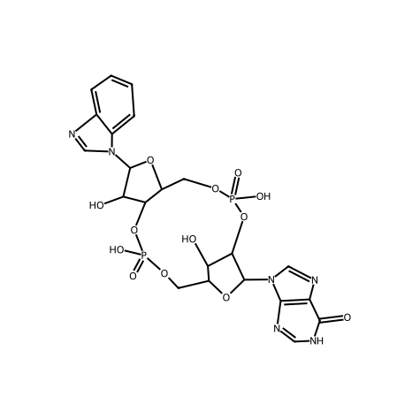 O=c1[nH]cnc2c1ncn2C1OC2COP(=O)(O)OC3C(COP(=O)(O)OC1C2O)OC(n1cnc2ccccc21)C3O